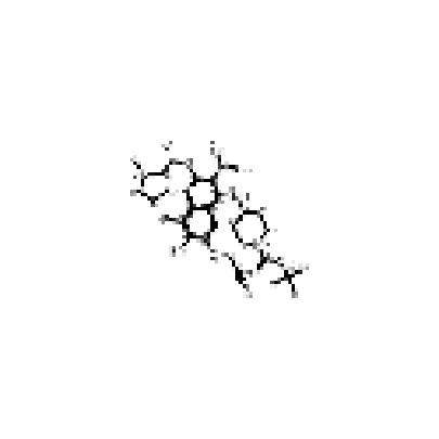 C[C@H](Oc1nc2c(F)c(Br)c(Cl)cc2c(N[C@H]2CCN(C(=O)OC(C)(C)C)[C@H](CC#N)C2)c1[N+](=O)[O-])[C@@H]1CCCN1C